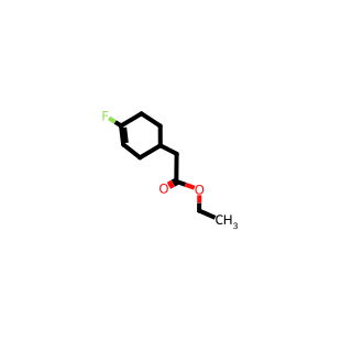 CCOC(=O)CC1CC=C(F)CC1